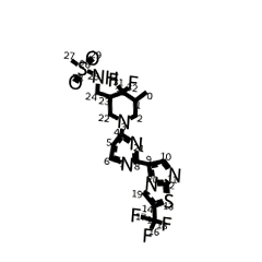 CC1CN(c2ccnc(-c3cnc4sc(C(F)(F)F)cn34)n2)CC(CNS(C)(=O)=O)C1(F)F